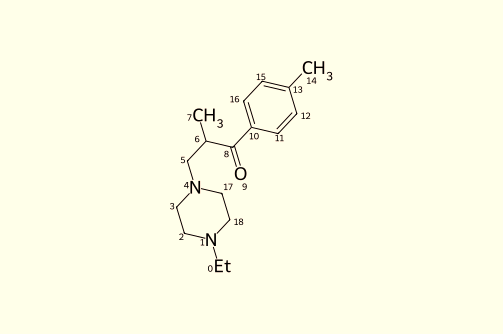 CCN1CCN(CC(C)C(=O)c2ccc(C)cc2)CC1